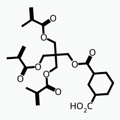 C=C(C)C(=O)OCC(COC(=O)C(=C)C)(COC(=O)C(=C)C)COC(=O)C1CCCC(C(=O)O)C1